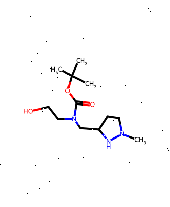 CN1CCC(CN(CCO)C(=O)OC(C)(C)C)N1